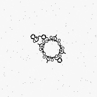 CC(C)C[C@H]1C(=O)O[C@H](Cc2ccc(CN3CCOc4ccccc43)cc2)C(=O)N(C)[C@@H](CC(C)C)C(=O)O[C@H](C)C(=O)N(C)[C@@H](CC(C)C)C(=O)O[C@H](Cc2ccccc2)C(=O)N(C)[C@@H](CC(C)C)C(=O)O[C@H](C)C(=O)N1C